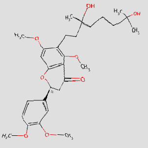 COc1ccc([C@@H]2CC(=O)c3c(cc(OC)c(CCC(C)(O)CCCC(C)(C)O)c3OC)O2)cc1OC